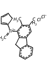 [CH2]=[Ti+2]([C]1=CC=CC1)[c]1c(C)c(C)cc2c1Cc1ccccc1-2.[Cl-].[Cl-]